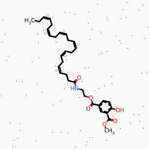 CC/C=C\C/C=C\C/C=C\C/C=C\C/C=C\C/C=C\CCC(=O)NCCOC(=O)c1ccc(O)c(C(=O)OC)c1